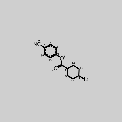 N#Cc1ccc(OC(=O)C2CCC(I)CC2)cc1